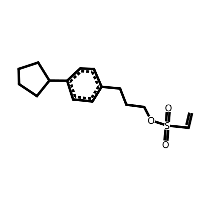 C=CS(=O)(=O)OCCCc1ccc(C2CCCC2)cc1